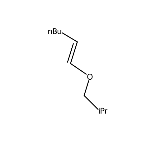 CCCCC=COCC(C)C